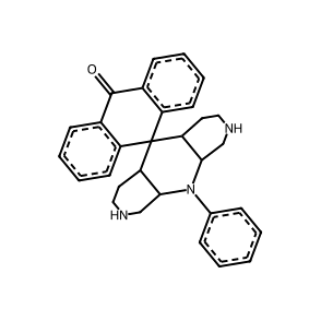 O=C1c2ccccc2C2(c3ccccc31)C1CCNCC1N(c1ccccc1)C1CNCCC12